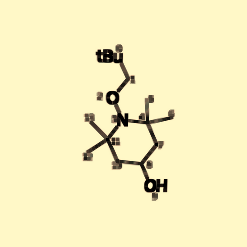 CC(C)(C)CON1C(C)(C)CC(O)CC1(C)C